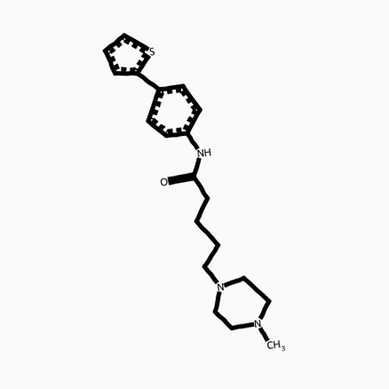 CN1CCN(CCCCC(=O)Nc2ccc(-c3cccs3)cc2)CC1